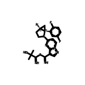 CC(C)(O)C(=N)SC(=N)c1cnn2ccc(N3CC[C@H]4C[C@]43c3cc(F)ccc3F)nc12